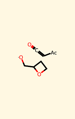 CC(=O)C=C=O.[O]CC1CCO1